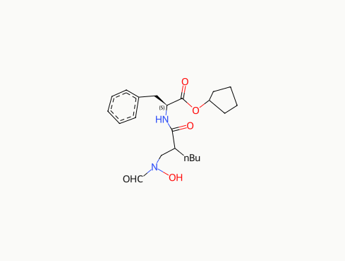 CCCCC(CN(O)C=O)C(=O)N[C@@H](Cc1ccccc1)C(=O)OC1CCCC1